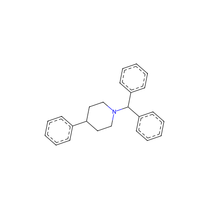 c1ccc(C2CCN(C(c3ccccc3)c3ccccc3)CC2)cc1